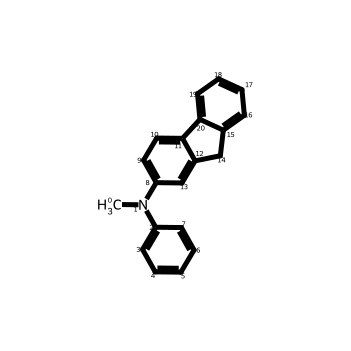 CN(c1ccccc1)c1ccc2c(c1)Cc1ccccc1-2